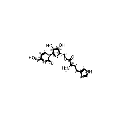 N[C@H](CCc1c[nH]cn1)C(=O)OC[C@H]1O[C@@H](n2ccc(NO)nc2=O)[C@H](O)[C@@H]1O